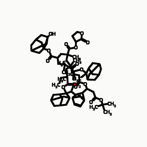 CCC(C)(CC(C)(CC(C)(CC(CC(C)(C)C(=O)OCC(=O)OC(CC(=O)OC(C)(C)C)C1CC2C=CC1C2)C(=O)OC12CC3CC(CC(O)(C3)C1)C2)C(=O)OC1CCOC1=O)C(=O)OC1(C)C2CC3CC(C2)CC1C3)C(=O)OC1(C(C)C)C2CC3CC(C2)CC1C3